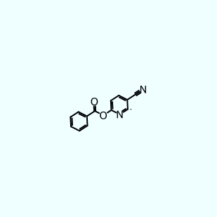 N#Cc1[c]nc(OC(=O)c2ccccc2)cc1